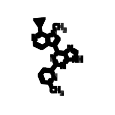 Cc1cccc(-c2nc(-c3cn(C)c4c(C5CC5)nccc34)c3nc[nH]c3n2)n1